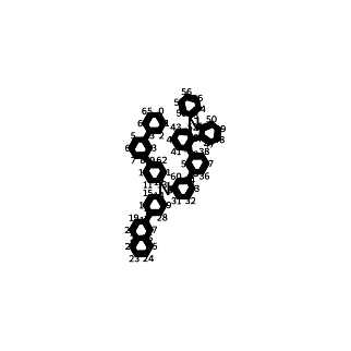 c1ccc(-c2cccc(-c3ccc(N(c4ccc(-c5ccc6ccccc6c5)cc4)c4cccc(-c5cccc(-c6cccc7c6c6ccccc6n7-c6ccccc6)c5)c4)cc3)c2)cc1